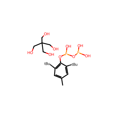 Cc1cc(C(C)(C)C)c(OP(O)OP(O)O)c(C(C)(C)C)c1.OCC(CO)(CO)CO